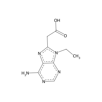 CCn1c(CC(=O)O)nc2c(N)ncnc21